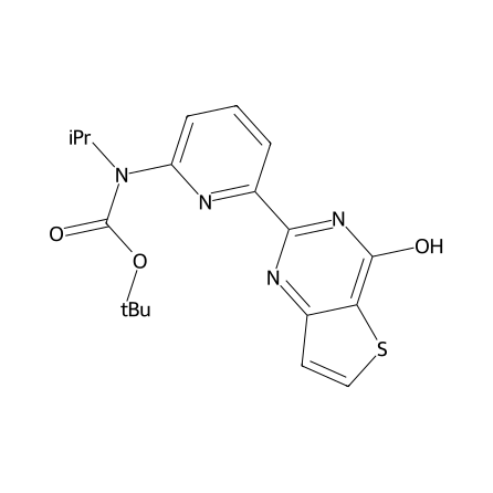 CC(C)N(C(=O)OC(C)(C)C)c1cccc(-c2nc(O)c3sccc3n2)n1